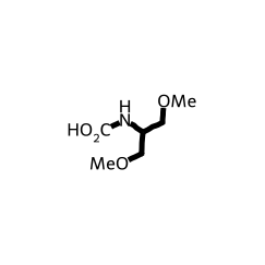 COCC(COC)NC(=O)O